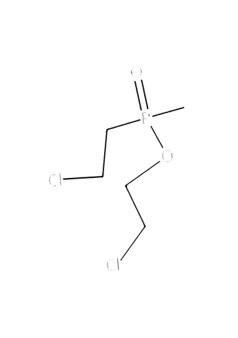 CP(=O)(CCCl)OCCCl